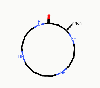 CCCCCCCCCC1CC(=O)NCCCNCCCCNCCCN1